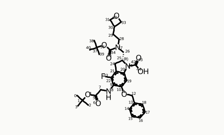 CC(C)(C)OC(=O)CNc1c(OCc2ccccc2)cc2c(c1F)C[C@H](CN(CCC1COC1)C(=O)OC(C)(C)C)N2C(=O)O